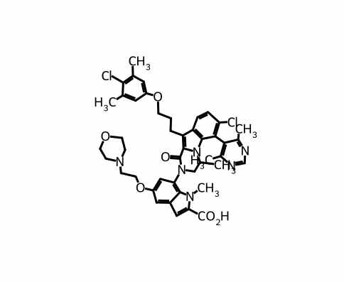 Cc1cc(OCCCc2c3n(c4c(-c5c(C)ncnc5C)c(Cl)ccc24)C(C)CN(c2cc(OCCN4CCOCC4)cc4cc(C(=O)O)n(C)c24)C3=O)cc(C)c1Cl